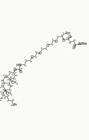 [2H]CC(COCCOCCOCCOCCCNC(=O)O[C@H]1CC[C@@]2(C)C(=CCC3C4CCC([C@@H](C)CCCC(C)C)[C@@]4(C)CCC32)C1)OC(=O)CCC(=O)NC